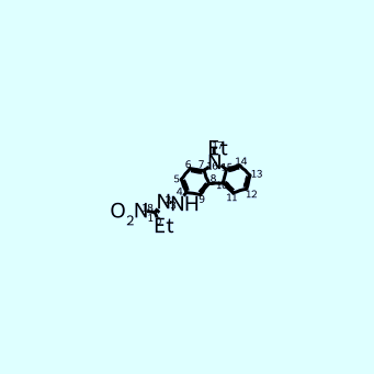 CC/C(=N\Nc1ccc2c(c1)c1ccccc1n2CC)[N+](=O)[O-]